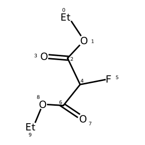 CCOC(=O)C(F)C(=O)OCC